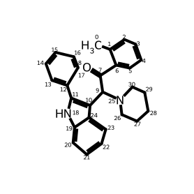 Cc1ccccc1C(=O)C(c1c(-c2ccccc2)[nH]c2ccccc12)N1CCCCC1